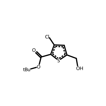 CC(C)(C)OC(=O)c1sc(CO)cc1Cl